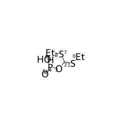 CCSC(O[PH](=O)O)SCC